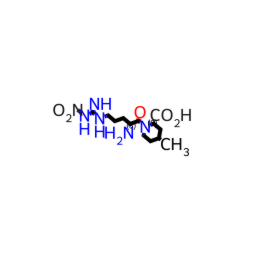 CC1CCN(C(=O)[C@@H](N)CCCNC(=N)N[N+](=O)[O-])[C@H](C(=O)O)C1